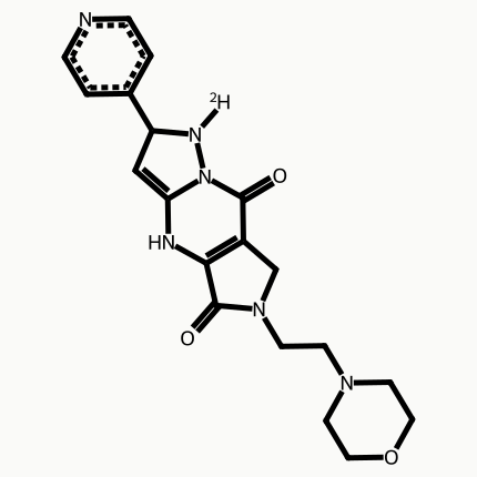 [2H]N1C(c2ccncc2)C=C2NC3=C(CN(CCN4CCOCC4)C3=O)C(=O)N21